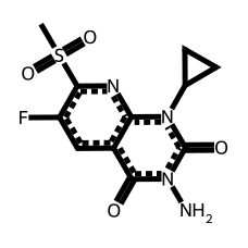 CS(=O)(=O)c1nc2c(cc1F)c(=O)n(N)c(=O)n2C1CC1